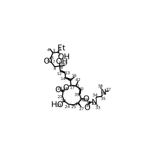 CCC(O)C(C)C1OC1CC(C)(O)/C=C/C=C(\C)C1OC(=O)CC(O)CCC(C)C(OC(=O)N(C)CCN(C)C)/C=C/C1C